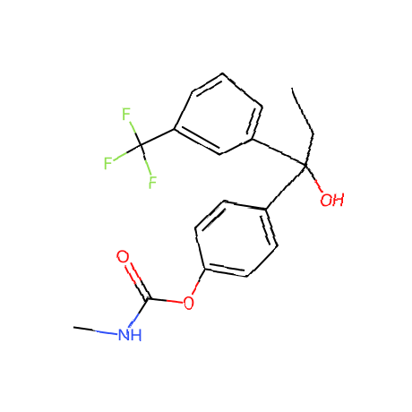 CCC(O)(c1ccc(OC(=O)NC)cc1)c1cccc(C(F)(F)F)c1